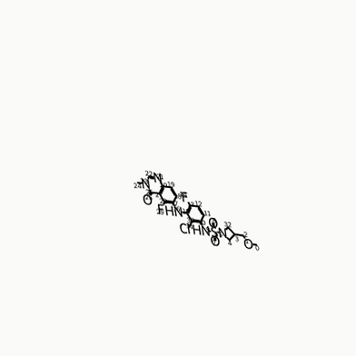 COCC1CN(S(=O)(=O)Nc2ccc(F)c(Nc3ccc4ncn(C)c(=O)c4c3F)c2Cl)C1